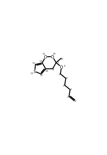 C=CCCCCOC1(C)Cc2cscc2OO1